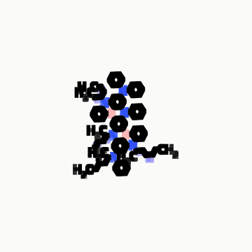 C=C/C=C\C=C(/C)N1c2ccccc2B2c3cc4c(cc3N(/C(C)=C/C=C\CC)c3cc(N(C(=C)CCC=C)c5ccccc5)cc1c32)B1c2ccccc2N(C(/C=C\C)=C/C)c2cc(N(c3ccccc3)c3ccccc3)cc(c21)N4c1ccccc1